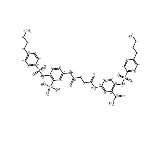 CCCCc1ccc(S(=O)(=O)Nc2ccc(NC(=O)CCC(=O)Nc3ccc(NS(=O)(=O)c4ccc(CCCC)cc4)c(P(=O)(O)O)c3)cc2C(=O)O)cc1